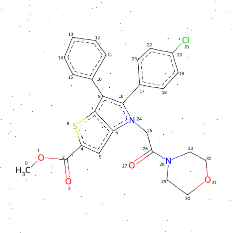 COC(=O)c1cc2c(s1)c(-c1ccccc1)c(-c1ccc(Cl)cc1)n2CC(=O)N1CCOCC1